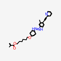 C=C(C)C(=O)OCCCCCCOc1ccc(NNc2ccc(C#Cc3ccccn3)c(C)c2)cc1